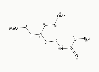 COCCN(CCNC(=O)OC(C)(C)C)CCOC